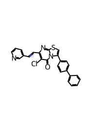 O=c1c(Cl)c(/C=C/c2cccnc2)nc2scc(-c3ccc(-c4ccccc4)cc3)n12